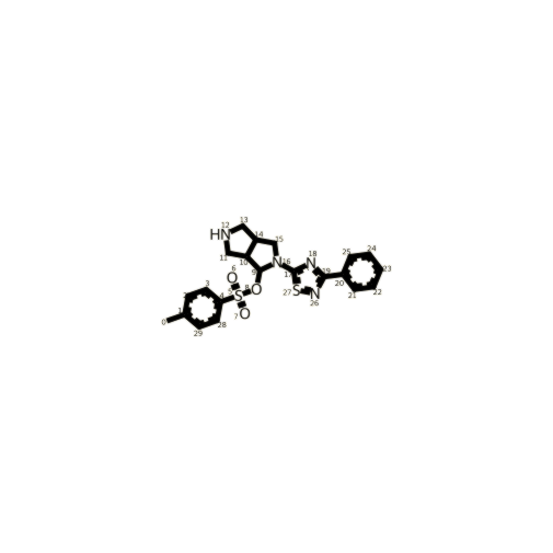 Cc1ccc(S(=O)(=O)OC2C3CNCC3CN2c2nc(-c3ccccc3)ns2)cc1